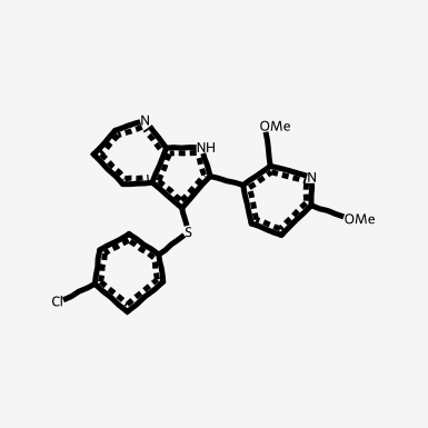 COc1ccc(-c2[nH]c3ncccc3c2Sc2ccc(Cl)cc2)c(OC)n1